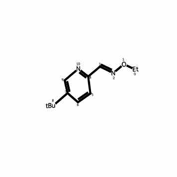 CCO/N=C/c1ccc(C(C)(C)C)cn1